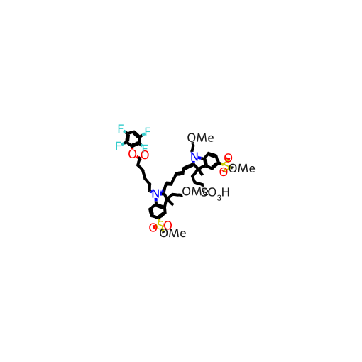 COCCN1/C(=C/C=C/C=C/C2=[N+](CCCCCC(=O)Oc3c(F)c(F)cc(F)c3F)c3ccc(S(=O)(=O)OC)cc3C2(C)CCOC)C(C)(CCCS(=O)(=O)O)c2cc(S(=O)(=O)OC)ccc21